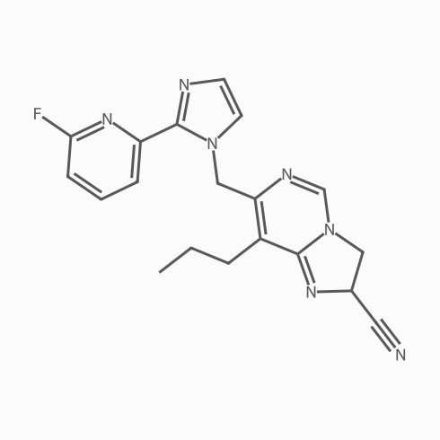 CCCC1=C(Cn2ccnc2-c2cccc(F)n2)N=CN2CC(C#N)N=C12